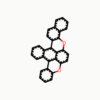 c1ccc2c(c1)Oc1ccc3c4c(c5ccccc5c-2c14)-c1ccc2ccccc2c1O3